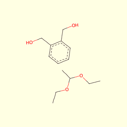 CCOC(C)OCC.OCc1ccccc1CO